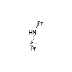 CC(C)CCCNCCCCSCC(C)C